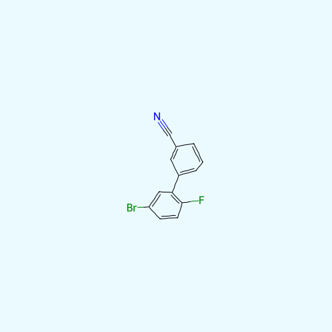 N#Cc1cccc(-c2cc(Br)ccc2F)c1